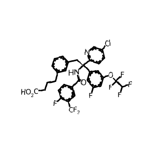 O=C(O)CCCc1cccc(C[C@](NC(=O)c2ccc(F)c(C(F)(F)F)c2)(c2cc(F)cc(OC(F)(F)C(F)F)c2)c2ccc(Cl)cn2)c1